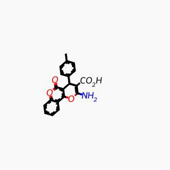 Cc1ccc(C2C(C(=O)O)=C(N)Oc3c2c(=O)oc2ccccc32)cc1